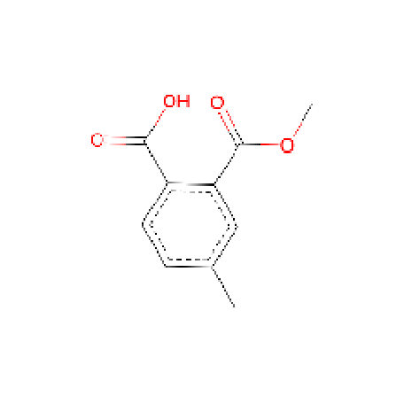 COC(=O)c1cc(C)ccc1C(=O)O